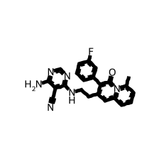 Cc1cccc2cc(CCNc3ncnc(N)c3C#N)c(-c3cccc(F)c3)c(=O)n12